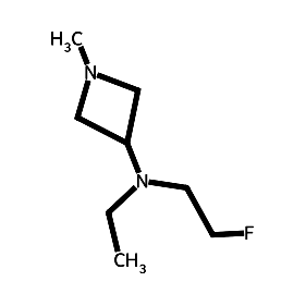 CCN(CCF)C1CN(C)C1